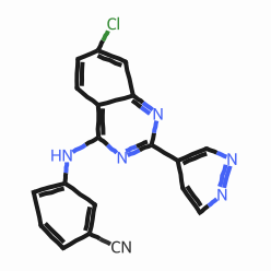 N#Cc1cccc(Nc2nc(-c3ccnnc3)nc3cc(Cl)ccc23)c1